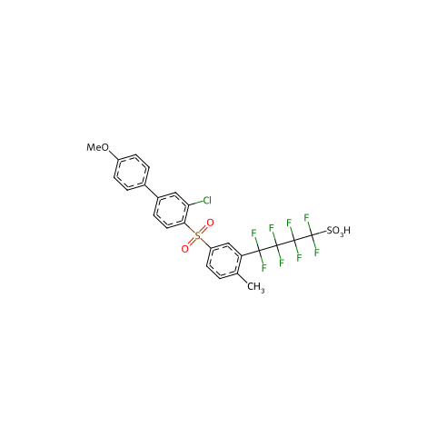 COc1ccc(-c2ccc(S(=O)(=O)c3ccc(C)c(C(F)(F)C(F)(F)C(F)(F)C(F)(F)S(=O)(=O)O)c3)c(Cl)c2)cc1